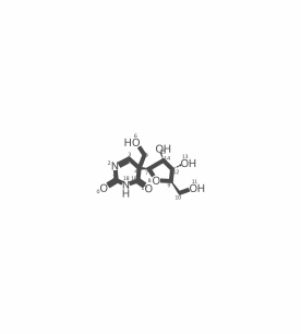 O=C1N=CC(CO)([C@@H]2O[C@H](CO)[C@@H](O)[C@H]2O)C(=O)N1